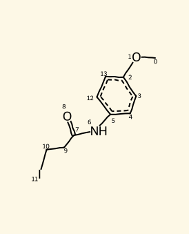 COc1ccc(NC(=O)CCI)cc1